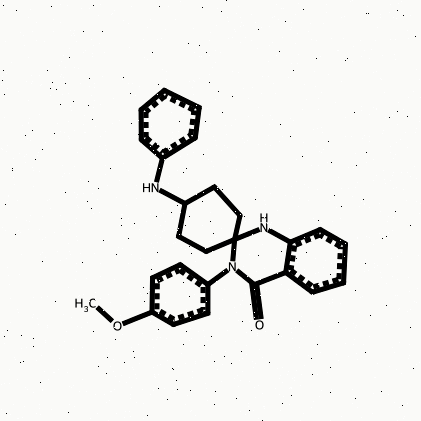 COc1ccc(N2C(=O)c3ccccc3NC23CCC(Nc2ccccc2)CC3)cc1